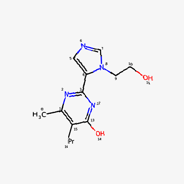 Cc1nc(-c2cncn2CCO)nc(O)c1C(C)C